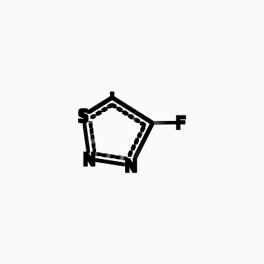 Fc1[c]snn1